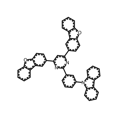 c1cc(-c2nc(-c3ccc4oc5ccccc5c4c3)cc(-c3ccc4oc5ccccc5c4c3)n2)cc(-n2c3ccccc3c3ccccc32)c1